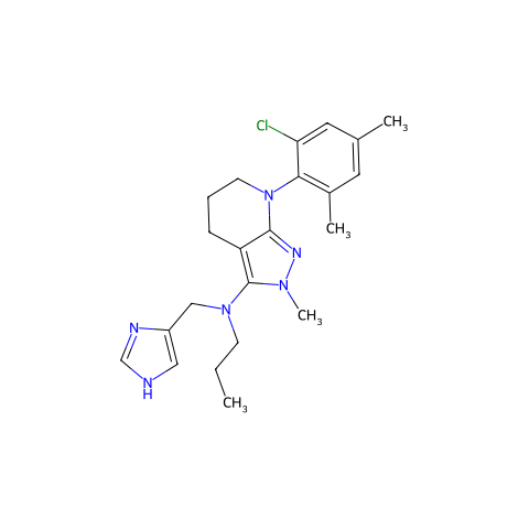 CCCN(Cc1c[nH]cn1)c1c2c(nn1C)N(c1c(C)cc(C)cc1Cl)CCC2